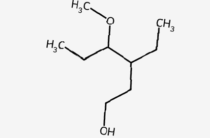 CCC(CCO)C(CC)OC